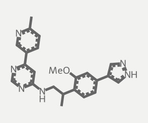 COc1cc(-c2cn[nH]c2)ccc1C(C)CNc1cc(-c2ccc(C)nc2)ncn1